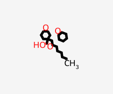 C1CCC2OC2C1.CCCCCCCCC1(C(=O)O)CCC2OC2C1